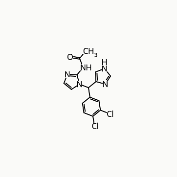 CC(=O)Nc1nccn1C(c1ccc(Cl)c(Cl)c1)c1c[nH]cn1